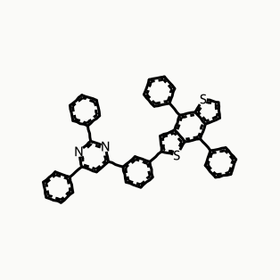 c1ccc(-c2cc(-c3cccc(-c4cc5c(-c6ccccc6)c6sccc6c(-c6ccccc6)c5s4)c3)nc(-c3ccccc3)n2)cc1